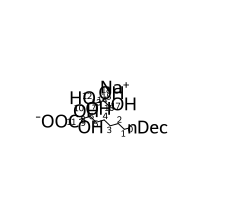 CCCCCCCCCCCCCCCC(O)C(O)(O)C(=O)[O-].OCC(O)CO.[Na+]